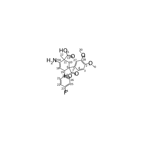 COc1ccc(C2(C(=O)O)CC(C)(C(=O)O)C(N)=CC2c2ccc(F)cc2)cc1OC